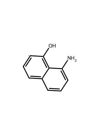 Nc1cccc2cc[c]c(O)c12